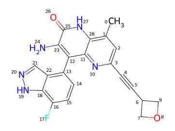 Cc1cc(C#CC2COC2)nc2c(-c3ccc(F)c4[nH]ncc34)c(N)c(=O)[nH]c12